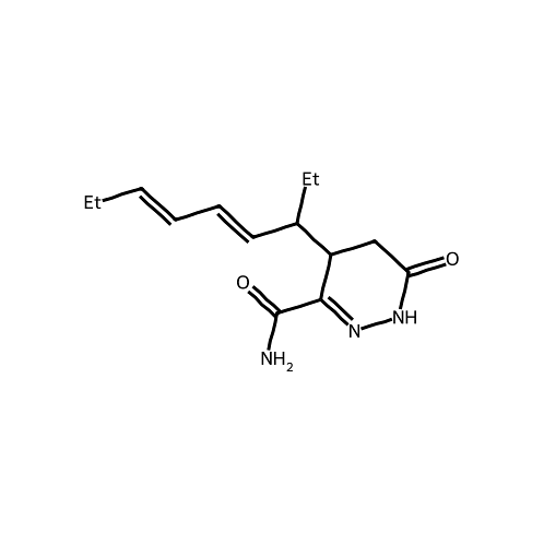 CC/C=C/C=C/C(CC)C1CC(=O)NN=C1C(N)=O